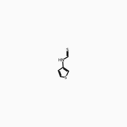 S=CNc1ccsc1